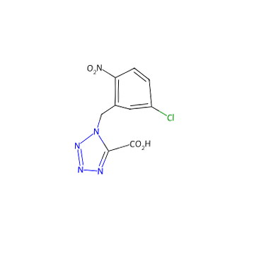 O=C(O)c1nnnn1Cc1cc(Cl)ccc1[N+](=O)[O-]